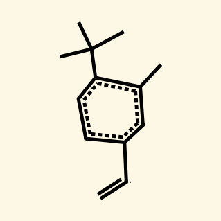 C=[C]c1ccc(C(C)(C)C)c(C)c1